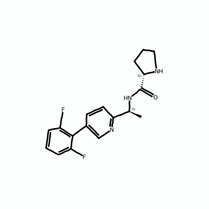 C[C@H](NC(=O)[C@@H]1CCCN1)c1ccc(-c2c(F)cccc2F)cn1